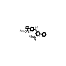 COC(=O)C1(c2ccc(Nc3cc(NC(C)(C)C)nc(-c4ccccc4)n3)cc2)CCC1